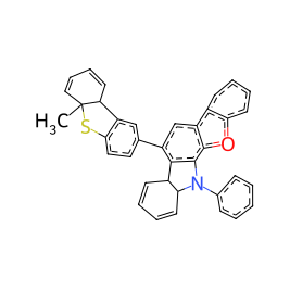 CC12C=CC=CC1c1cc(-c3cc4c(oc5ccccc54)c4c3C3C=CC=CC3N4c3ccccc3)ccc1S2